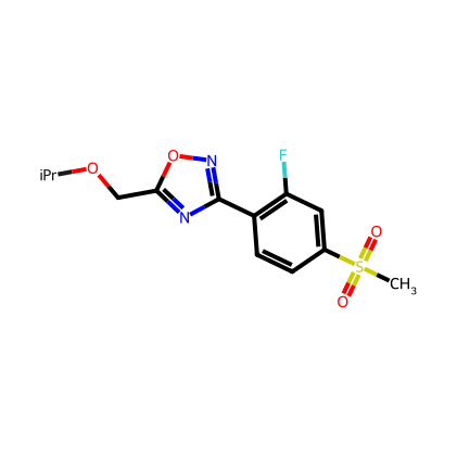 CC(C)OCc1nc(-c2ccc(S(C)(=O)=O)cc2F)no1